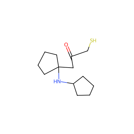 O=C(CS)CC1(NC2CCCC2)CCCC1